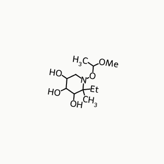 CCC1(C)C(O)C(O)C(O)CN1OC(C)OC